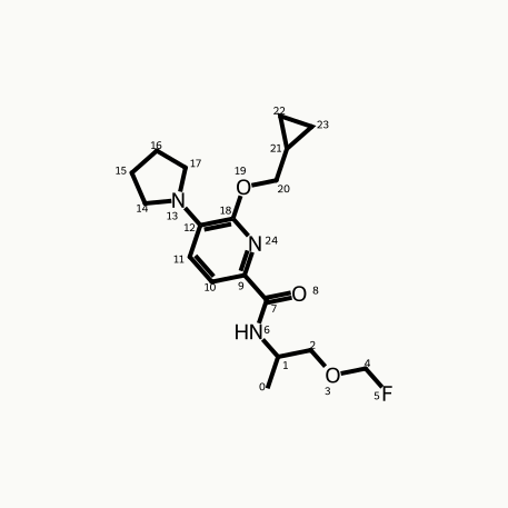 CC(COCF)NC(=O)c1ccc(N2CCCC2)c(OCC2CC2)n1